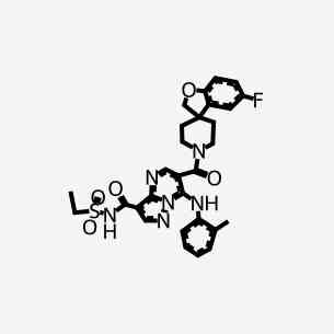 CCS(=O)(=O)NC(=O)c1cnn2c(Nc3ccccc3C)c(C(=O)N3CCC4(CC3)COc3ccc(F)cc34)cnc12